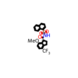 COc1ccc(C(F)(F)F)c2c1[C@H](C(=O)NS(=O)(=O)c1cccc3ccccc13)CC2